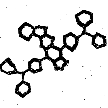 C1=CC(N(c2ccccc2)c2ccc(-c3c4nsnc4c(-c4ccc(N(c5ccccc5)c5ccccc5)cc4)c4nc5ccc6ccccc6c5nc34)cc2)=CCC1